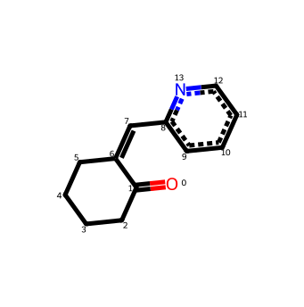 O=C1CCCC/C1=C/c1ccccn1